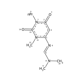 CCCn1c(=O)cc(N=CN(C)C)n(C)c1=O